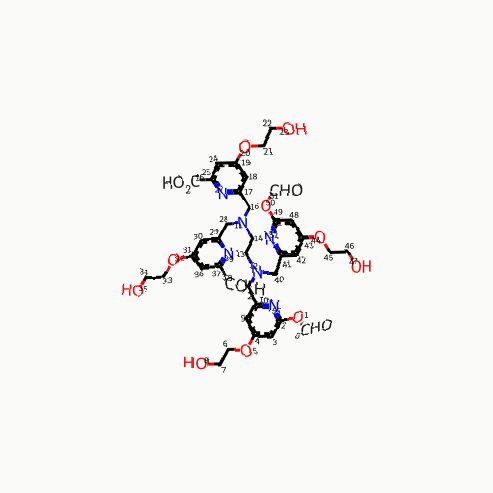 O=COc1cc(OCCO)cc(CN(CCN(Cc2cc(OCCO)cc(C(=O)O)n2)Cc2cc(OCCO)cc(C(=O)O)n2)Cc2cc(OCCO)cc(OC=O)n2)n1